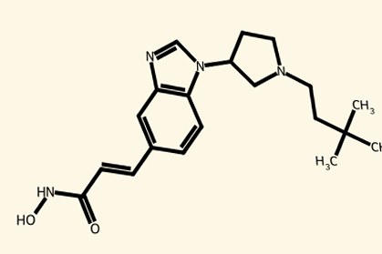 CC(C)(C)CCN1CCC(n2cnc3cc(C=CC(=O)NO)ccc32)C1